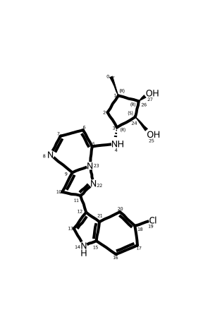 [CH2][C@@H]1C[C@@H](Nc2ccnc3cc(-c4c[nH]c5ccc(Cl)cc45)nn23)[C@H](O)[C@@H]1O